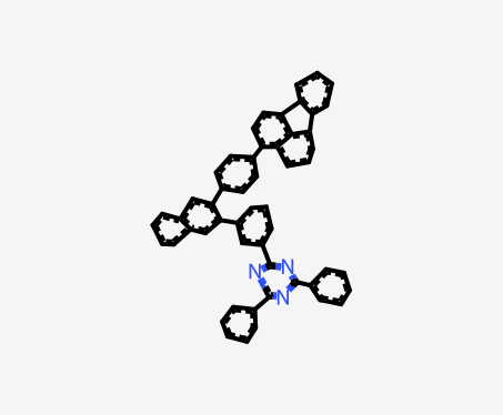 c1ccc(-c2nc(-c3ccccc3)nc(-c3cccc(-c4cc5ccccc5cc4-c4ccc(-c5ccc6c7c(cccc57)-c5ccccc5-6)cc4)c3)n2)cc1